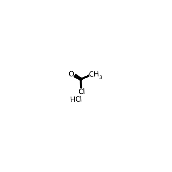 CC(=O)Cl.Cl